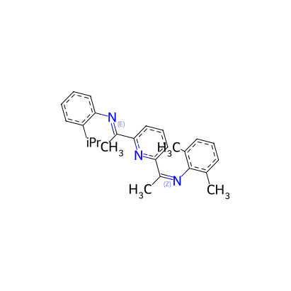 C/C(=N/c1c(C)cccc1C)c1cccc(/C(C)=N/c2ccccc2C(C)C)n1